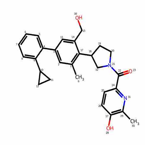 Cc1cc(-c2ccccc2C2CC2)cc(CO)c1C1CCN(C(=O)c2ccc(O)c(C)n2)C1